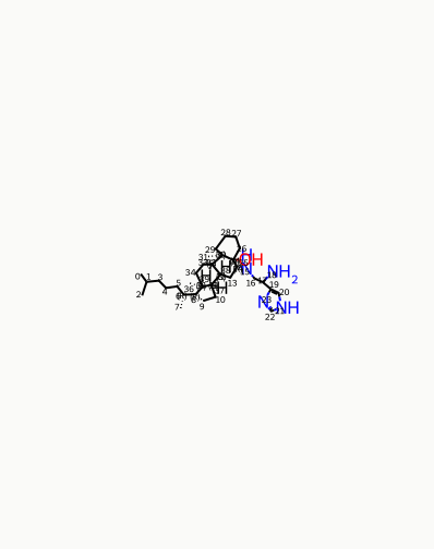 CC(C)CCC[C@@H](C)[C@H]1CC[C@H]2[C@@H]3C[C@@H](NCC(N)c4c[nH]cn4)[C@@]4(O)CCCC[C@]4(C)[C@H]3CC[C@]12C